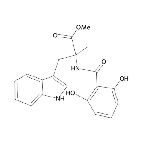 COC(=O)C(C)(Cc1c[nH]c2ccccc12)NC(=O)c1c(O)cccc1O